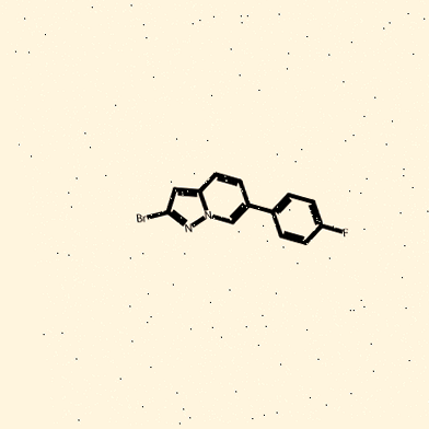 Fc1ccc(-c2ccc3cc(Br)nn3c2)cc1